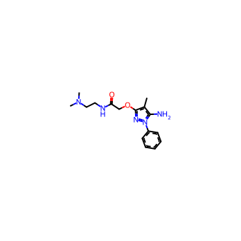 Cc1c(OCC(=O)NCCN(C)C)nn(-c2ccccc2)c1N